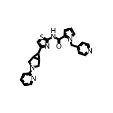 O=C(Nc1nc(C2C3CN(c4ccccn4)CC32)cs1)c1cccn1Cc1ccncc1